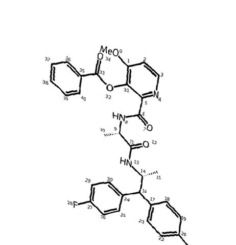 COc1ccnc(C(=O)N[C@@H](C)C(=O)N[C@H](C)C(c2ccc(F)cc2)c2ccc(F)cc2)c1OC(=O)c1ccccc1